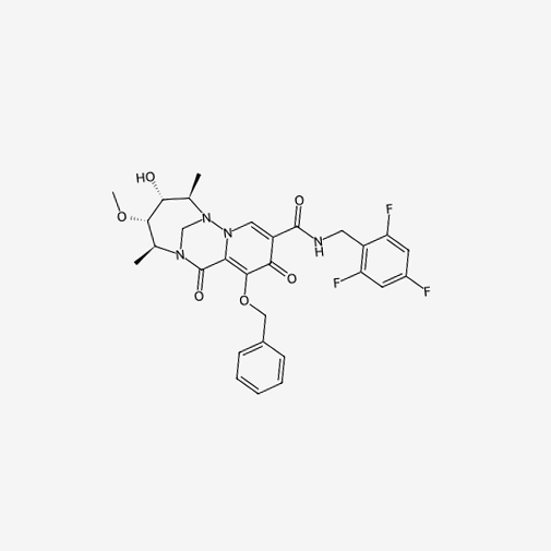 CO[C@@H]1[C@H](O)[C@@H](C)N2CN(C(=O)c3c(OCc4ccccc4)c(=O)c(C(=O)NCc4c(F)cc(F)cc4F)cn32)[C@H]1C